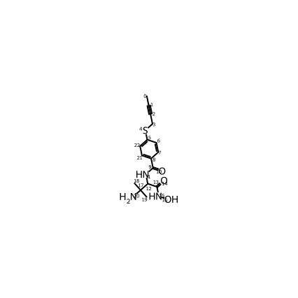 CC#CCSc1ccc(C(=O)NC(C(=O)NO)C(C)(C)N)cc1